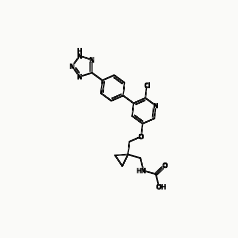 O=C(O)NCC1(COc2cnc(Cl)c(-c3ccc(-c4nn[nH]n4)cc3)c2)CC1